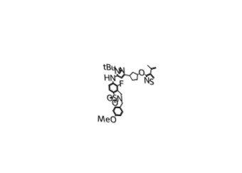 C=C(C)c1csnc1OC1CCC(c2cc(Nc3ccc4c(c3F)CN(Cc3ccc(OC)cc3)S4(=O)=O)n(C(C)(C)C)n2)C1